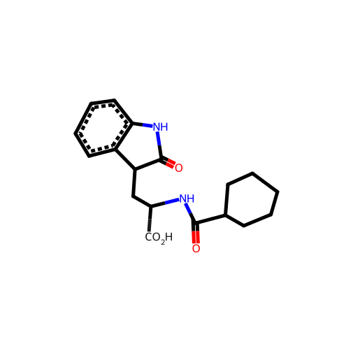 O=C(NC(CC1C(=O)Nc2ccccc21)C(=O)O)C1CCCCC1